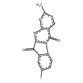 Cc1ncc2c(=O)n3c(nc2n1)C(=O)c1cc(I)ccc1-3